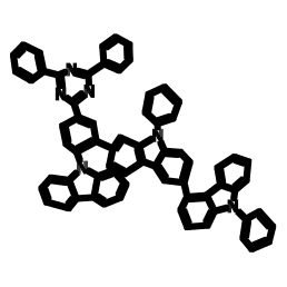 c1ccc(-c2nc(-c3ccccc3)nc(-c3ccc(-n4c5ccccc5c5ccccc54)c(-c4ccc5c6cc(-c7cccc8c7c7ccccc7n8-c7ccccc7)ccc6n(-c6ccccc6)c5c4)c3)n2)cc1